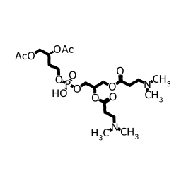 CC(=O)OC[C@H](CCOP(=O)(O)OCC(COC(=O)CCN(C)C)OC(=O)CCN(C)C)OC(C)=O